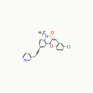 CN1c2ccc(C#CCc3cccnc3)cc2C(=O)/C(=C\c2cccc(Cl)c2)[S+]1[O-]